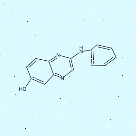 Oc1ccc2nc(Nc3ccccc3)cnc2c1